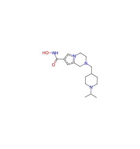 CC(C)N1CCC(CN2CCn3cc(C(=O)NO)cc3C2)CC1